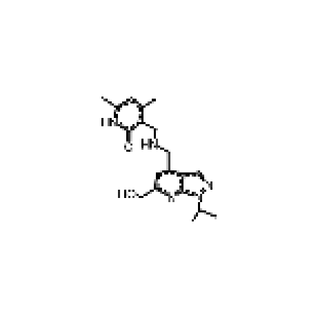 Cc1cc(C)c(CNCc2cc(CO)nc3c2cnn3C(C)C)c(=O)[nH]1